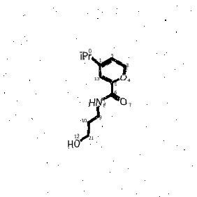 CC(C)C1=CCOC(C(=O)NCCCO)=C1